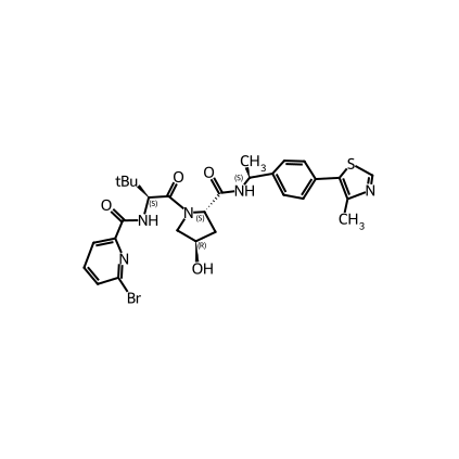 Cc1ncsc1-c1ccc([C@H](C)NC(=O)[C@@H]2C[C@@H](O)CN2C(=O)[C@@H](NC(=O)c2cccc(Br)n2)C(C)(C)C)cc1